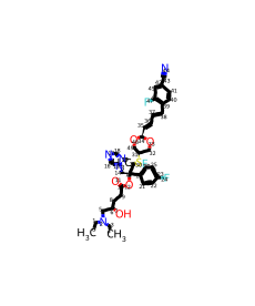 CCN(CC)CC(O)CCC(=O)O[C@@](Cn1cncn1)(c1ccc(F)cc1F)[C@@H](C)S[C@H]1CO[C@H](/C=C/C=C/c2ccc(C#N)cc2F)OC1